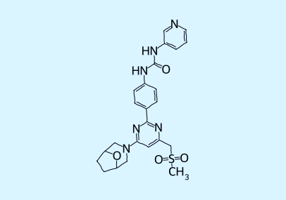 CS(=O)(=O)Cc1cc(N2CC3CCC(C2)O3)nc(-c2ccc(NC(=O)Nc3cccnc3)cc2)n1